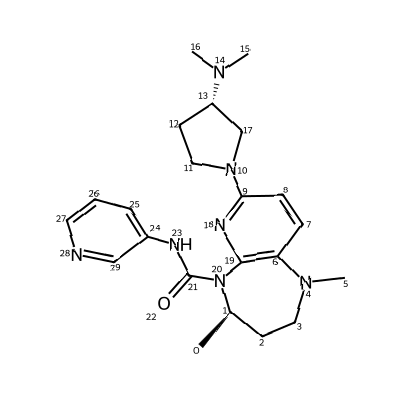 C[C@@H]1CCN(C)c2ccc(N3CC[C@H](N(C)C)C3)nc2N1C(=O)Nc1cccnc1